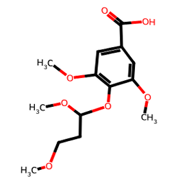 COCCC(OC)Oc1c(OC)cc(C(=O)O)cc1OC